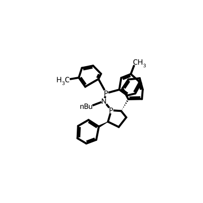 CCCCN(P(c1cccc(C)c1)c1cccc(C)c1)P1[C@H](c2ccccc2)CC[C@H]1c1ccccc1